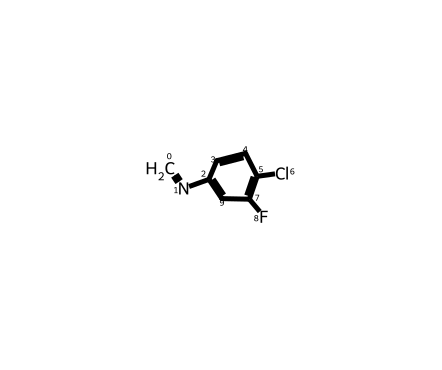 C=Nc1ccc(Cl)c(F)c1